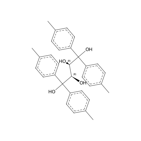 Cc1ccc(C(O)(c2ccc(C)cc2)[C@H](O)[C@@H](O)C(O)(c2ccc(C)cc2)c2ccc(C)cc2)cc1